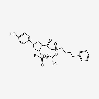 CCC(=O)O[C@H](OP(=O)(CCCCc1ccccc1)CC(=O)N1C[C@H](c2ccc(O)cc2)C[C@H]1C(=O)O)C(C)C